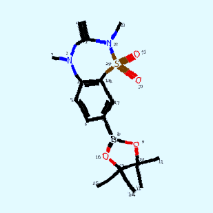 C=C1N(C)c2ccc(B3OC(C)(C)C(C)(C)O3)cc2S(=O)(=O)N1C